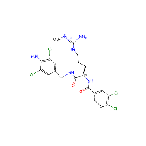 N/C(=N/[N+](=O)[O-])NCCC[C@@H](NC(=O)c1ccc(Cl)c(Cl)c1)C(=O)NCc1cc(Cl)c(N)c(Cl)c1